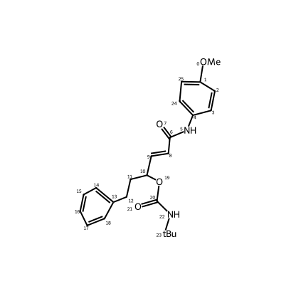 COc1ccc(NC(=O)C=CC(CCc2ccccc2)OC(=O)NC(C)(C)C)cc1